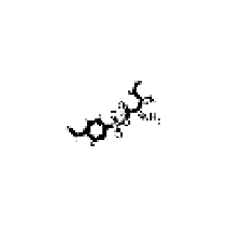 CCc1ccc(S(=O)(=O)OC(=O)[C@H](N)[C@H](C)CC)cc1